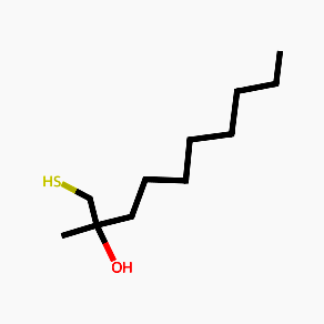 CCCCCCCCC(C)(O)CS